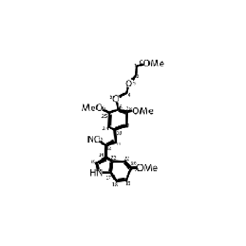 COCCOCOc1c(OC)cc(C=C(C#N)c2c[nH]c3ccc(OC)cc23)cc1OC